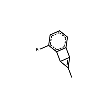 CC1=C2c3cccc(Br)c3C12